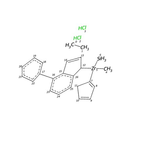 CC.Cl.Cl.[CH3][Zr]([SiH3])([C]1=CC=CC1)[CH]1C=Cc2c(-c3ccccc3)cccc21